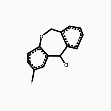 Fc1ccc2c(c1)C(Cl)c1ccccc1CO2